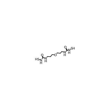 O=C(NS)NCCCOCCCNC(=O)NS